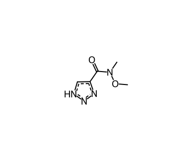 CON(C)C(=O)c1c[nH]nn1